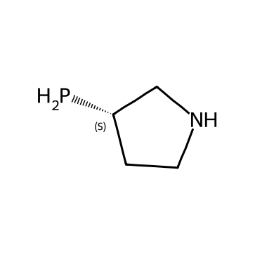 P[C@H]1CCNC1